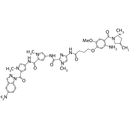 C=C1C[C@@H](C)N(C(=O)c2cc(OC)c(OCCCC(=O)Nc3cn(C)c(C(=O)Nc4cc(C(=O)Nc5cc(C(=O)n6ncc7cc(N)ccc76)n(C)c5)n(C)c4)n3)cc2N)C1